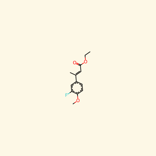 CCOC(=O)/C=C(\C)c1ccc(OC)c(F)c1